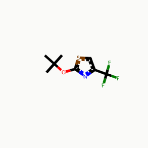 CC(C)(C)Oc1nc(C(F)(F)F)cs1